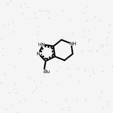 CCC(C)c1n[nH]c2c1CCNC2